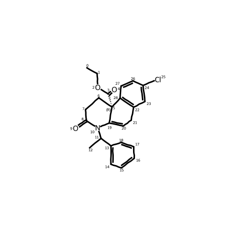 CCOC(=O)[C@@]12CCC(=O)N(C(C)c3ccccc3)C1=CCc1cc(Cl)ccc12